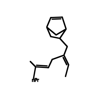 CC=C(CC=C(C)CCC)CC1CC2C=CC1C2